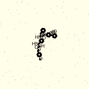 COc1ccc(COC(=O)NC(=N)c2cccc(NN(Cc3ccccc3)C(=O)Nc3ccc(-c4ccccc4S(C)(=O)=O)cc3)c2)cc1